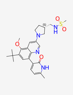 COc1c(C(C)(C)C)cc(-c2ccc(C)[nH]c2=O)c2ncc(N3CC[C@H](CNS(C)(=O)=O)C3)cc12